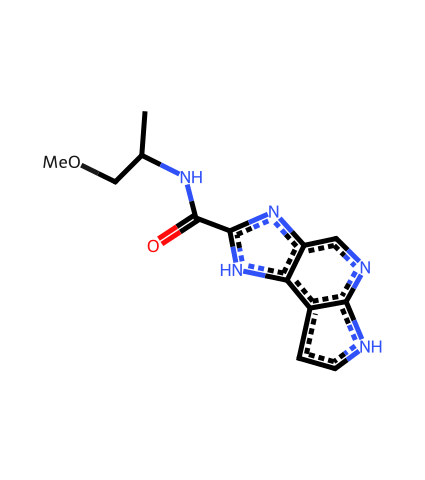 COCC(C)NC(=O)c1nc2cnc3[nH]ccc3c2[nH]1